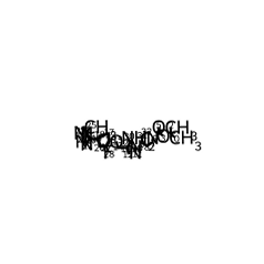 CC(C)OC(=O)N1CCC(n2ncc(COc3ccc(-c4nnnn4C)cc3F)c2N)CC1